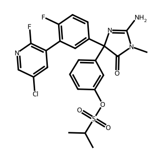 CC(C)S(=O)(=O)Oc1cccc(C2(c3ccc(F)c(-c4cc(Cl)cnc4F)c3)N=C(N)N(C)C2=O)c1